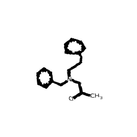 CC(Cl)CN(CCc1ccccc1)Cc1ccccc1